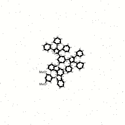 COc1cc(OC)cc(-n2c3ccccc3c3ccc4c(c5ccccc5n4-c4cc(-c5sc(-c6ccccc6)c(-c6ccccc6)c5-c5ccccc5)cc(-c5sc(-c6ccccc6)c(-c6ccccc6)c5-c5ccccc5)c4)c32)c1